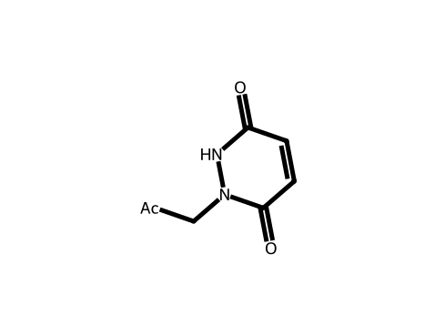 CC(=O)Cn1[nH]c(=O)ccc1=O